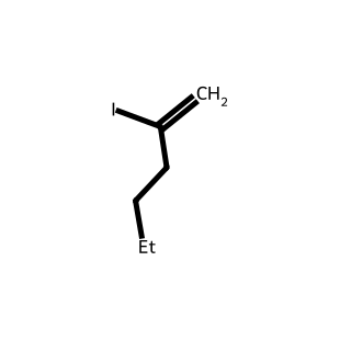 C=C(I)CCCC